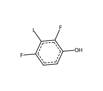 Oc1ccc(F)c(I)c1F